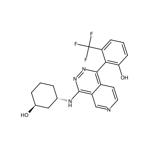 Oc1cccc(C(F)(F)F)c1-c1nnc(N[C@H]2CCC[C@H](O)C2)c2cnccc12